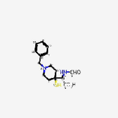 O=CN[C@H](C(=O)O)C1(S)CCN(Cc2ccccc2)CC1